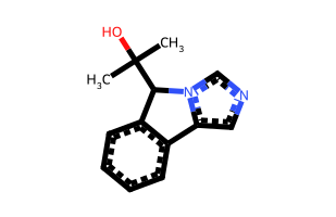 CC(C)(O)C1c2ccccc2-c2cncn21